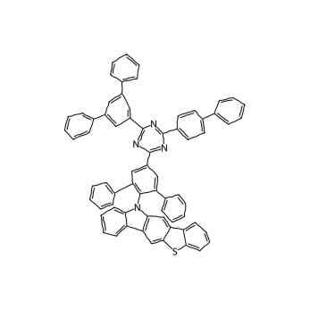 c1ccc(-c2ccc(-c3nc(-c4cc(-c5ccccc5)cc(-c5ccccc5)c4)nc(-c4cc(-c5ccccc5)c(-n5c6ccccc6c6cc7sc8ccccc8c7cc65)c(-c5ccccc5)c4)n3)cc2)cc1